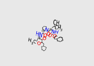 CCC[C@H](NC(=O)[C@@H]1CCCN1C(=O)[C@H](CC(C)C)NC(=O)OCc1ccccc1)C(=O)C(=O)CC1CCCCC1